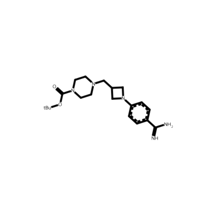 CC(C)(C)OC(=O)N1CCN(CC2CN(c3ccc(C(=N)N)cc3)C2)CC1